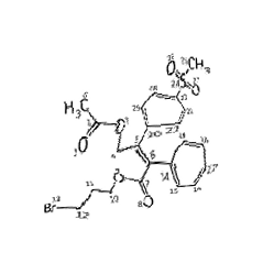 CC(=O)OC/C(=C(\C(=O)OCCCBr)c1ccccc1)c1ccc(S(C)(=O)=O)cc1